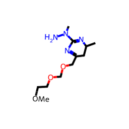 COCCOCOCC1=NC(N(C)N)=NC(C)C1